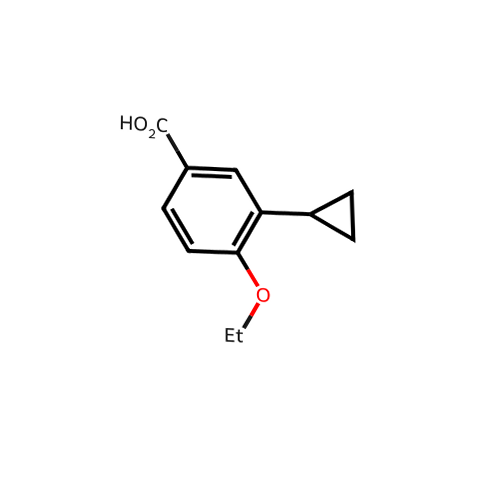 CCOc1ccc(C(=O)O)cc1C1CC1